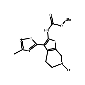 CCN1CCc2c(sc(NC(=O)OC(C)(C)C)c2-c2nc(C)no2)C1